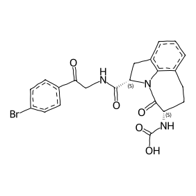 O=C(O)N[C@H]1CCc2cccc3c2N(C1=O)[C@H](C(=O)NCC(=O)c1ccc(Br)cc1)C3